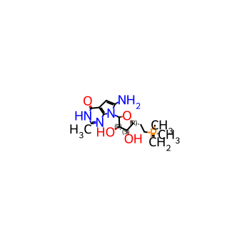 C=P(C)(C)CC[C@H]1OC(n2c(N)cc3c(=O)[nH]c(C)nc32)[C@H](O)[C@@H]1O